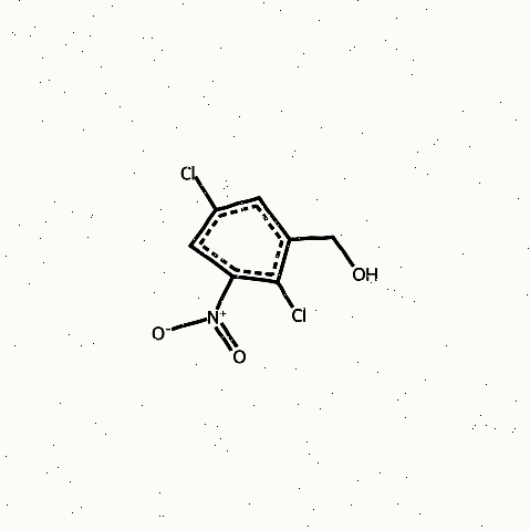 O=[N+]([O-])c1cc(Cl)cc(CO)c1Cl